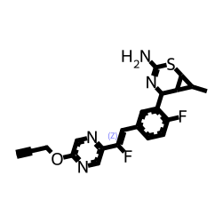 C#CCOc1cnc(/C(F)=C/c2ccc(F)c(C3N=C(N)SC4C(C)C34)c2)cn1